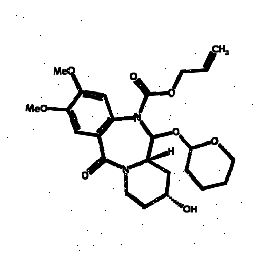 C=CCOC(=O)N1c2cc(OC)c(OC)cc2C(=O)N2CC[C@@H](O)C[C@H]2C1OC1CCCCO1